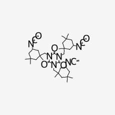 C=C=NC1CC(C)(C)CC(C)(Cn2c(=O)n(CC3(C)CC(N=C=O)CC(C)(C)C3)c(=O)n(CC3(C)CC(N=C=O)CC(C)(C)C3)c2=O)C1